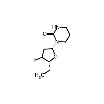 CC[C@H]1O[C@@H](N2CCCNC2=O)CC1I